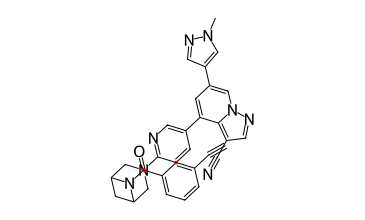 C#Cc1cccc(C(=O)N2C3CC2CN(c2ccc(-c4cc(-c5cnn(C)c5)cn5ncc(C#N)c45)cn2)C3)c1